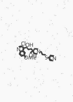 COc1ccc2ncc(Cl)c([C@H](O)CCC3(CO)CCN(CCCSc4ccncc4)CC3)c2c1